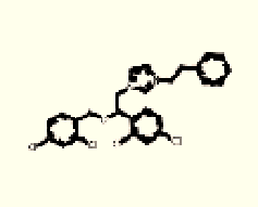 Clc1ccc(COC(C[n+]2ccn(CCc3ccccc3)c2)c2ccc(Cl)cc2Cl)c(Cl)c1